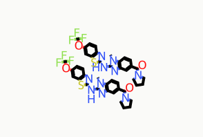 Cn1c(Nc2nc3ccc(OC(F)(F)F)cc3s2)nc2cc(C(=O)N3CCCC3)ccc21.Cn1c(Nc2nc3ccc(OC(F)(F)F)cc3s2)nc2cc(C(=O)N3CCCC3)ccc21